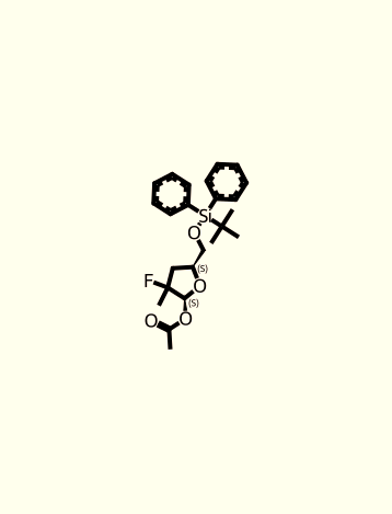 CC(=O)O[C@@H]1O[C@H](CO[Si](c2ccccc2)(c2ccccc2)C(C)(C)C)CC1(C)F